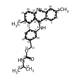 Cc1ccc2c(Nc3cccc(COC(=O)NC(C)C)c3)c3cc(C)ccc3nc2c1